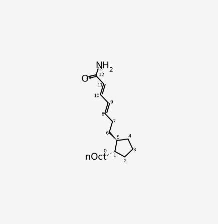 CCCCCCCC[C@H]1CCC[C@@H]1CCC=CC=CC(N)=O